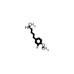 CNCCCCc1ccc(OC)c(F)c1